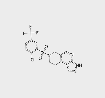 O=S(=O)(c1cc(C(F)(F)F)ccc1Cl)N1CCc2c(cnc3[nH]ncc23)C1